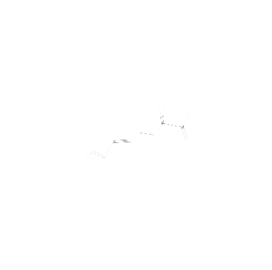 C=C(C)C(=O)OC/C=C/C=CC